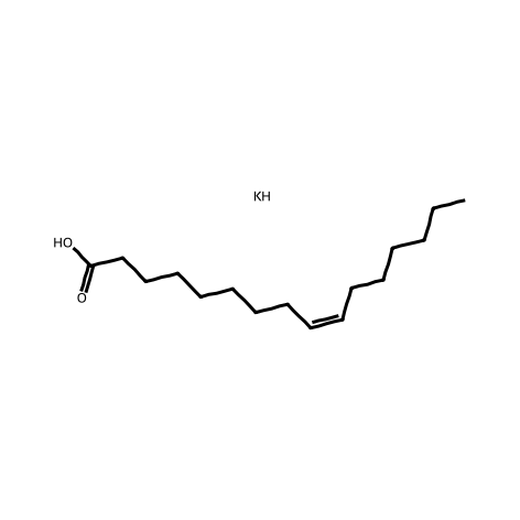 CCCCCC/C=C\CCCCCCCC(=O)O.[KH]